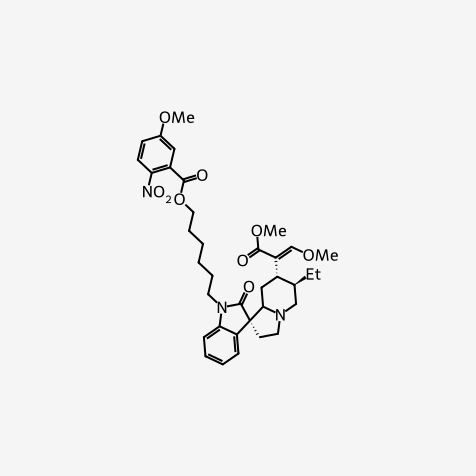 CC[C@H]1CN2CC[C@]3(C(=O)N(CCCCCCOC(=O)c4cc(OC)ccc4[N+](=O)[O-])c4ccccc43)C2C[C@@H]1/C(=C\OC)C(=O)OC